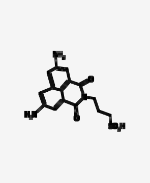 Nc1cc2c3c(cc(N)cc3c1)C(=O)N(CCCS(=O)(=O)O)C2=O